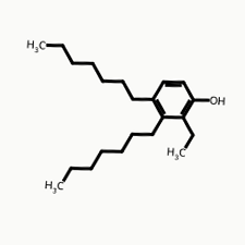 CCCCCCCc1ccc(O)c(CC)c1CCCCCCC